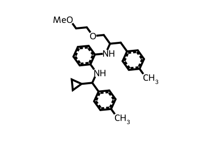 COCCOCC(Cc1ccc(C)cc1)Nc1ccccc1NC(c1ccc(C)cc1)C1CC1